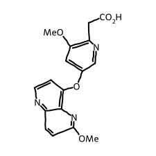 COc1ccc2nccc(Oc3cnc(CC(=O)O)c(OC)c3)c2n1